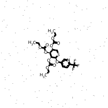 CCOC(=O)O[C@@H]1[C@@H](OC(=O)OCC)[C@H](OC(=O)OCC)CS[C@H]1Oc1ccc(C(F)(F)F)nc1